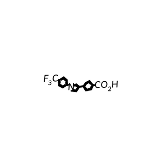 O=C(O)c1ccc(-c2ccn(-c3ccc(C(F)(F)F)cc3)c2)cc1